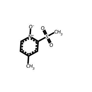 Cc1cc[n+]([O-])c(S(C)(=O)=O)c1